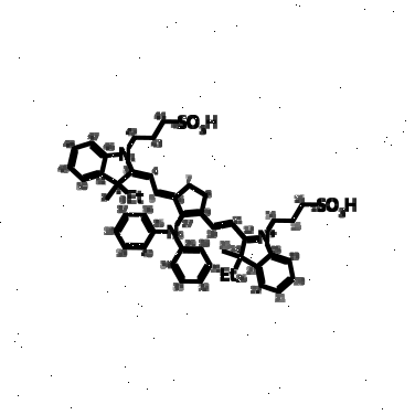 CCC1(C)C(=CC=C2CCC(C=CC3=[N+](CCCS(=O)(=O)O)c4ccccc4C3(C)CC)=C2N(c2ccccc2)c2ccccc2)N(CCCS(=O)(=O)O)c2ccccc21